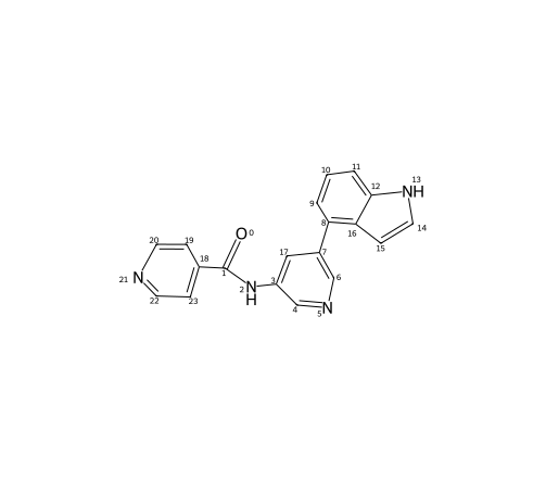 O=C(Nc1cncc(-c2cccc3[nH]ccc23)c1)c1ccncc1